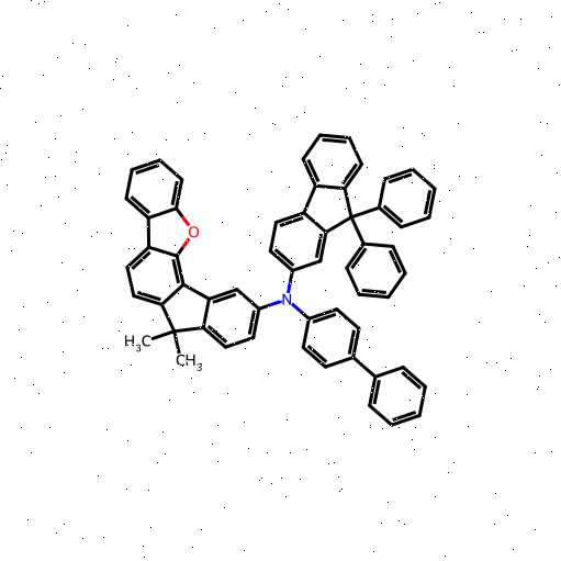 CC1(C)c2ccc(N(c3ccc(-c4ccccc4)cc3)c3ccc4c(c3)C(c3ccccc3)(c3ccccc3)c3ccccc3-4)cc2-c2c1ccc1c2oc2ccccc21